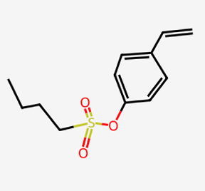 C=Cc1ccc(OS(=O)(=O)CCCC)cc1